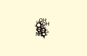 C[C@@]12CC=C[C@H]1[C@@H]1[C@@H](N)CC3CCC(O)=C(O)[C@]3(C)[C@H]1CC2